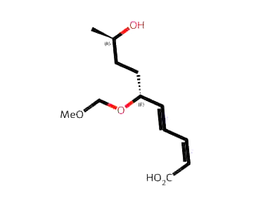 COCO[C@@H](/C=C/C=C\C(=O)O)CC[C@@H](C)O